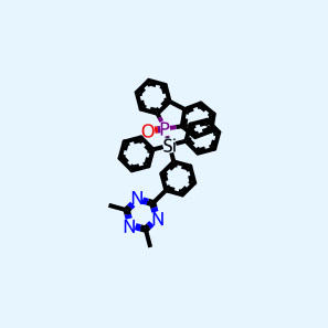 Cc1nc(C)nc(-c2cccc([Si](c3ccccc3)(c3ccccc3)P3(=O)c4ccccc4-c4ccccc43)c2)n1